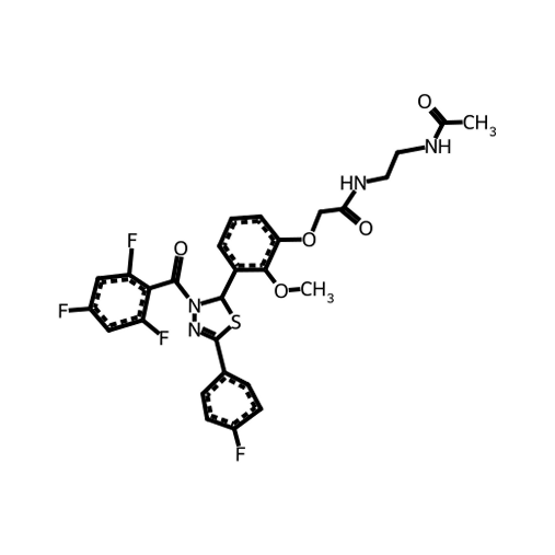 COc1c(OCC(=O)NCCNC(C)=O)cccc1C1SC(c2ccc(F)cc2)=NN1C(=O)c1c(F)cc(F)cc1F